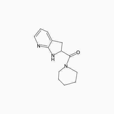 O=C(C1Cc2cccnc2N1)N1CCCCC1